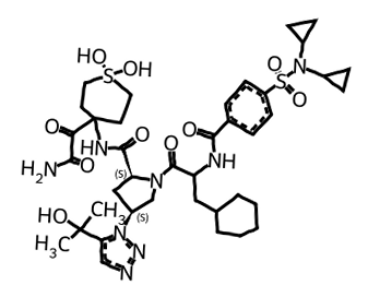 CC(C)(O)c1cnnn1[C@H]1C[C@@H](C(=O)NC2(C(=O)C(N)=O)CCS(O)(O)CC2)N(C(=O)C(CC2CCCCC2)NC(=O)c2ccc(S(=O)(=O)N(C3CC3)C3CC3)cc2)C1